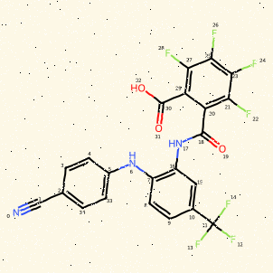 N#Cc1ccc(Nc2ccc(C(F)(F)F)cc2NC(=O)c2c(F)c(F)c(F)c(F)c2C(=O)O)cc1